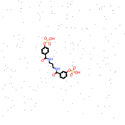 O=C(NCCCNC(=O)c1cccc(OS(=O)(=O)O)c1)c1ccc(OS(=O)(=O)O)cc1